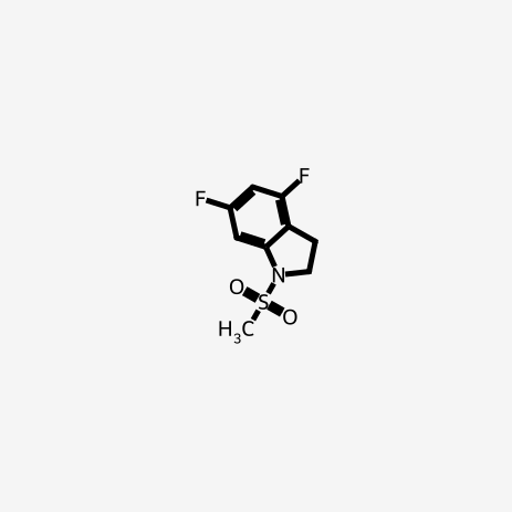 CS(=O)(=O)N1CCc2c(F)cc(F)cc21